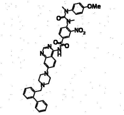 COc1ccc(N(C)C(=O)N(C)c2ccc(S(=O)(=O)Nc3ncnc4cc(N5CCN(Cc6ccccc6-c6ccccc6)CC5)ccc34)cc2[N+](=O)[O-])cc1